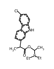 CCN(CC)C(C)OC(=O)C(C)c1ccc2c(c1)[nH]c1ccc(Cl)cc12